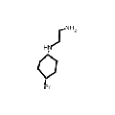 CC(C)[C@H]1CC[C@H](NCCN)CC1